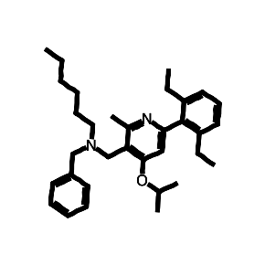 CCCCCCN(Cc1ccccc1)Cc1c(OC(C)C)cc(-c2c(CC)cccc2CC)nc1C